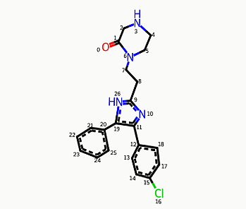 O=C1CNCCN1CCc1nc(-c2ccc(Cl)cc2)c(-c2ccccc2)[nH]1